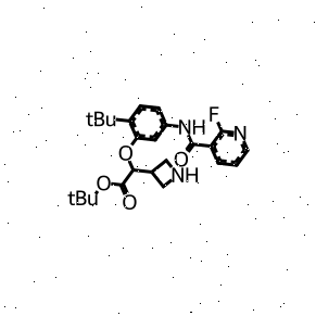 CC(C)(C)OC(=O)C(Oc1cc(NC(=O)c2cccnc2F)ccc1C(C)(C)C)C1CNC1